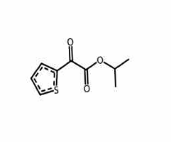 CC(C)OC(=O)C(=O)c1cccs1